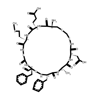 CSCC[C@@H]1NC(=O)[C@H](CCC(=O)O)NC(=O)[C@@H](N)CCCCNC(=O)[C@H](CC(=O)O)NC(=O)[C@H](C)NC(=O)[C@H](Cc2ccccc2)NC[C@@](C=O)(Cc2ccccc2)NC(=O)CNC1=O